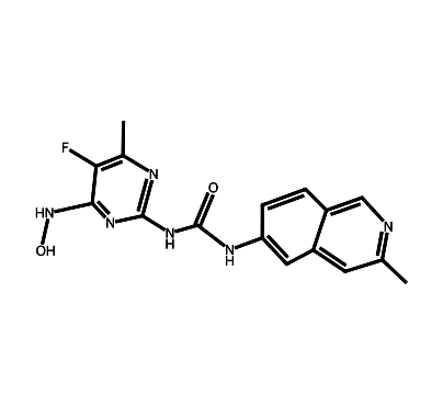 Cc1cc2cc(NC(=O)Nc3nc(C)c(F)c(NO)n3)ccc2cn1